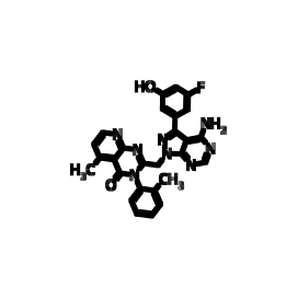 Cc1ccccc1-n1c(Cn2nc(-c3cc(O)cc(F)c3)c3c(N)ncnc32)nc2nccc(C)c2c1=O